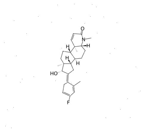 CC1=CC(F)=CCC1=C1C[C@H]2[C@@H]3CC[C@H]4N(C)C(=O)C=C[C@]4(C)[C@H]3CC[C@]2(C)[C@H]1O